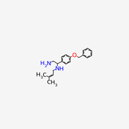 CC(C)=CCNC(CN)c1ccc(OCc2ccccc2)cc1